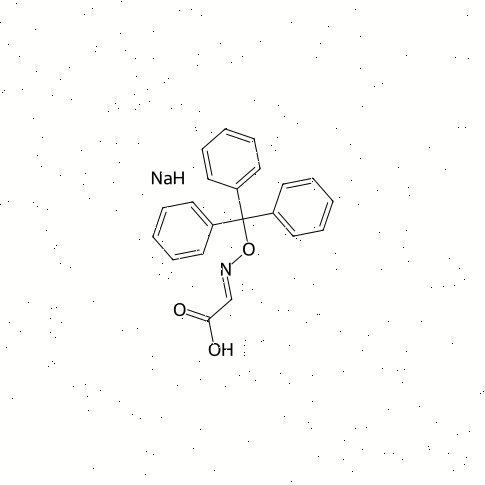 O=C(O)C=NOC(c1ccccc1)(c1ccccc1)c1ccccc1.[NaH]